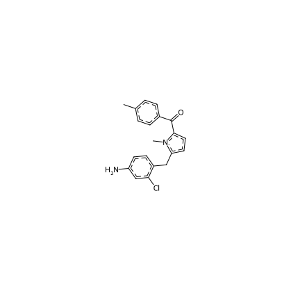 Cc1ccc(C(=O)c2ccc(Cc3ccc(N)cc3Cl)n2C)cc1